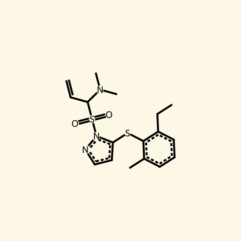 C=CC(N(C)C)S(=O)(=O)n1nccc1Sc1c(C)cccc1CC